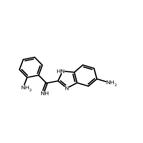 N=C(c1nc2cc(N)ccc2[nH]1)c1ccccc1N